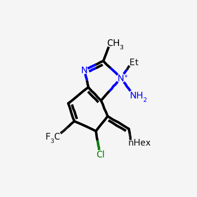 CCCCCCC=C1C2=C(C=C(C(F)(F)F)C1Cl)N=C(C)[N+]2(N)CC